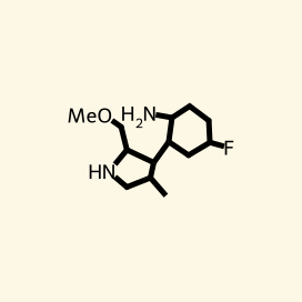 COCC1NCC(C)C1C1CC(F)CCC1N